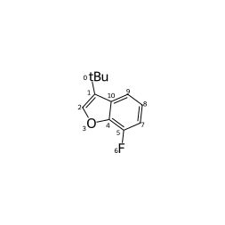 CC(C)(C)c1coc2c(F)cccc12